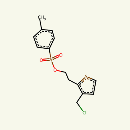 Cc1ccc(S(=O)(=O)OCCc2sccc2CCl)cc1